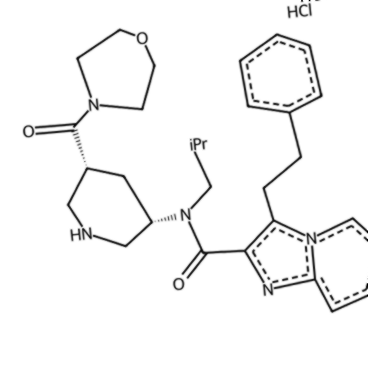 CC(C)CN(C(=O)c1nc2ccccn2c1CCc1ccccc1)[C@@H]1CNC[C@H](C(=O)N2CCOCC2)C1.Cl.Cl